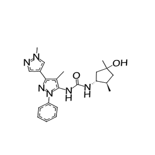 Cc1c(-c2cnn(C)c2)nn(-c2ccccc2)c1NC(=O)N[C@@H]1CC(C)(O)C[C@H]1C